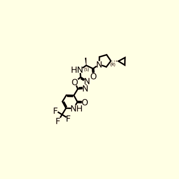 C[C@H](Nc1nnc(-c2ccc(C(F)(F)F)[nH]c2=O)o1)C(=O)N1CC[C@H](C2CC2)C1